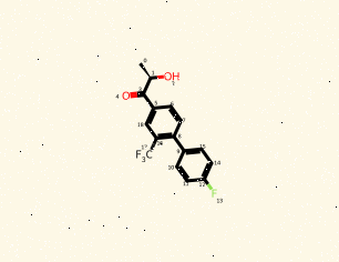 C[C@@H](O)C(=O)c1ccc(-c2ccc(F)cc2)c(C(F)(F)F)c1